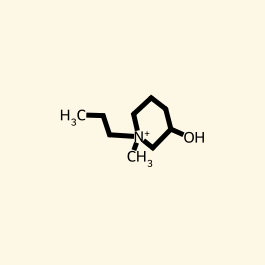 CCC[N+]1(C)CCCC(O)C1